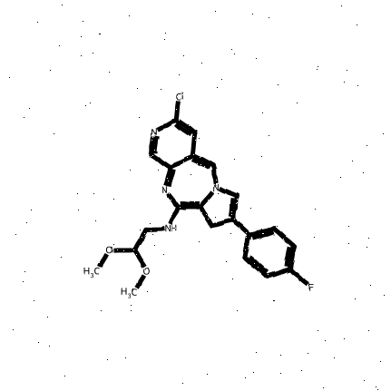 COC(CNC1=C2CC(c3ccc(F)cc3)=CN2C=c2cc(Cl)ncc2=N1)OC